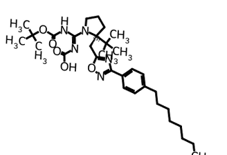 CCCCCCCCc1ccc(-c2noc(C[C@]3(C(C)(C)C)CCCN3C(=NC(=O)O)NC(=O)OC(C)(C)C)n2)cc1